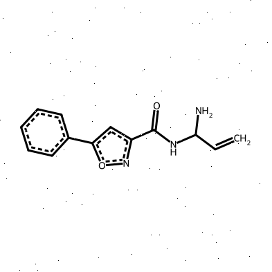 C=CC(N)NC(=O)c1cc(-c2ccccc2)on1